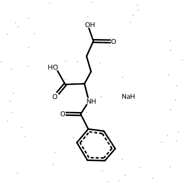 O=C(O)CCC(NC(=O)c1ccccc1)C(=O)O.[NaH]